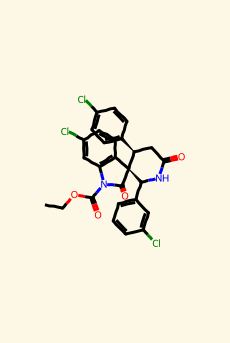 CCOC(=O)N1C(=O)[C@@]2(c3ccc(Cl)cc31)C(c1cccc(Cl)c1)NC(=O)C[C@@H]2c1ccc(Cl)cc1